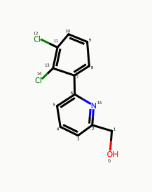 OCc1cccc(-c2cccc(Cl)c2Cl)n1